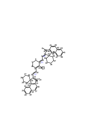 CN1/C(=C/C=C2\CCCC(/C=C/C3=[N+](C)c4ccc5ccccc5c4C34CCCCC4)=C2Cl)C2(CCCCC2)c2c1ccc1ccccc21